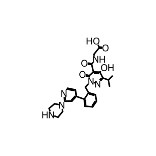 CC(C)c1nn(Cc2ccccc2-c2ccnc(N3CCNCC3)c2)c(=O)c(C(=O)NCC(=O)O)c1O